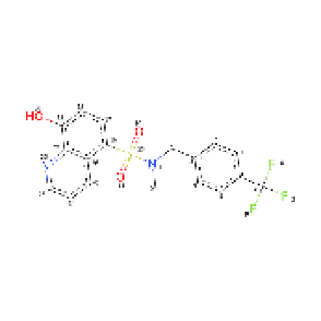 CN(Cc1ccc(C(F)(F)F)cc1)S(=O)(=O)c1ccc(O)c2ncccc12